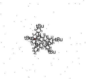 CC(C)(C)c1ccc2c(c1)c1cc(C(C)(C)C)cc3c4ccc5c(ccc6c7cc(C(C)(C)C)cc8c9cc(C(C)(C)C)cc(-c%10ccc%11c(c%10)c%10ccccc%10n%11-c%10ccccc%10)c9n(c87)c56)c4n2c13